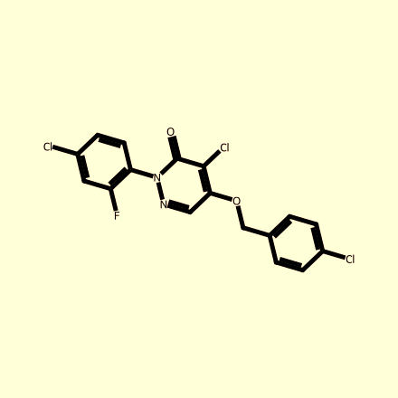 O=c1c(Cl)c(OCc2ccc(Cl)cc2)cnn1-c1ccc(Cl)cc1F